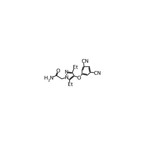 CCc1nn(CC(N)=O)c(CC)c1Oc1cc(C#N)cc(C#N)c1